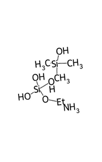 CCO[Si](O)(O)O.C[Si](C)(C)O.N